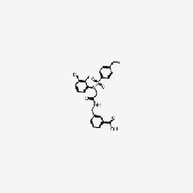 CCc1ccc(S(=O)(=O)N(CC(=O)NCc2cccc(C(=O)O)c2)c2cccc(Cl)c2C)cc1